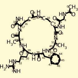 CC(=O)NCC(=O)NC1CCCNC(=O)CCC(C(N)=O)NC(=O)[C@H](C)NC(=O)[C@H](CCCNC(=N)N)NC(=O)C(Cc2ccccc2)NC(=O)[C@H](C)NC1=O